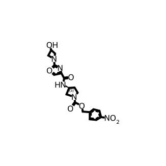 O=C(N[C@H]1CCN(C(=O)OCc2ccc([N+](=O)[O-])cc2)C1)c1coc(N2CC(O)C2)n1